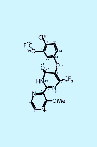 COc1nccnc1-c1nc(C(F)(F)F)c(Oc2ccc(Cl)c(OC(F)(F)F)c2)c(=O)[nH]1